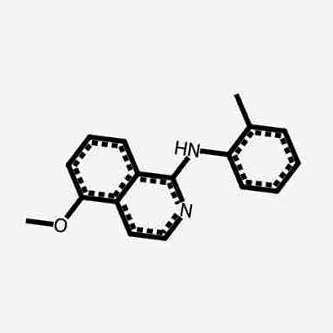 COc1cccc2c(Nc3ccccc3C)nccc12